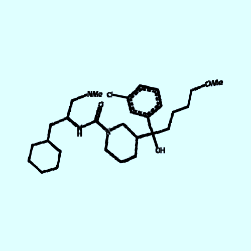 CNCC(CC1CCCCC1)NC(=O)N1CCCC(C(O)(CCCCOC)c2cccc(Cl)c2)C1